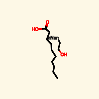 CCCCCCCCCC(=O)O.CCCCCCCCCCCO